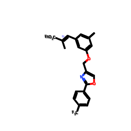 CCOC(=O)/C(C)=C/c1cc(C)cc(OCc2coc(-c3ccc(C(F)(F)F)cc3)n2)c1